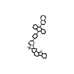 CC1(C)C2=CC=C(c3ccc(-c4c5ccccc5c(C5=CC=C6C=CC=CC6C5)c5ccccc45)cc3)CC2c2cc3c(ccc4c5ccccc5sc34)cc21